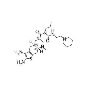 CCCN(C(=O)NCCN1CCCCC1)C(=O)[C@@H]1C[C@@H]2Cc3c(sc(N)c3N)C[C@H]2N(C)C1